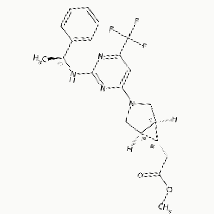 COC(=O)C[C@@H]1[C@H]2CN(c3cc(C(F)(F)F)nc(N[C@@H](C)c4ccccc4)n3)C[C@@H]12